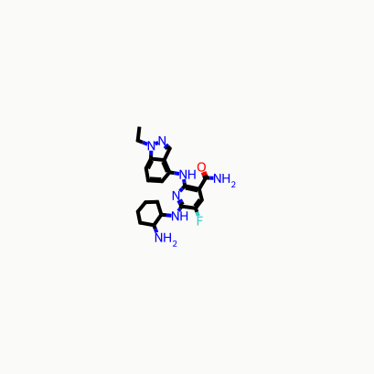 CCn1ncc2c(Nc3nc(NC4CCCCC4N)c(F)cc3C(N)=O)cccc21